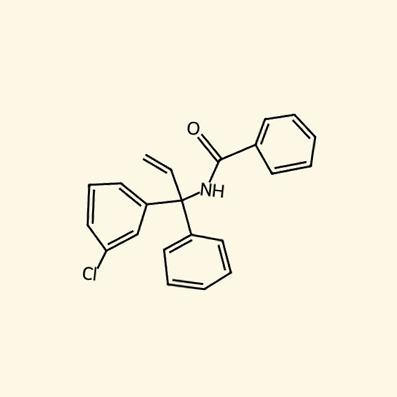 C=CC(NC(=O)c1ccccc1)(c1ccccc1)c1cccc(Cl)c1